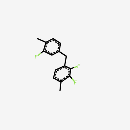 Cc1ccc(Cc2ccc(C)c(F)c2F)cc1F